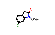 CON1C(=O)Cc2ccc(Cl)cc21